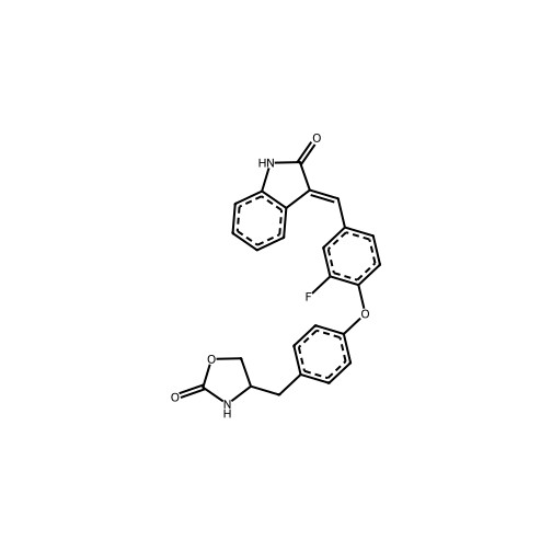 O=C1NC(Cc2ccc(Oc3ccc(/C=C4/C(=O)Nc5ccccc54)cc3F)cc2)CO1